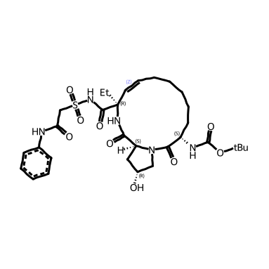 CC[C@]1(C(=O)NS(=O)(=O)CC(=O)Nc2ccccc2)/C=C\CCCCC[C@H](NC(=O)OC(C)(C)C)C(=O)N2C[C@H](O)C[C@H]2C(=O)N1